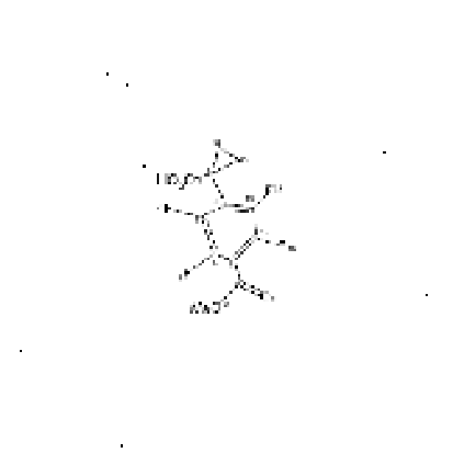 COC(=O)c1c(F)c(F)c(C2(C(=O)O)CC2)c(F)c1F